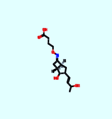 CC(O)C=CC1C[C@@H]2C(=NOCCCC(=O)O)C[C@H]2C1O